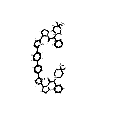 CC1(O)CCN(C(C(=O)N2CCCC2c2ncc(-c3ccc(-c4ccc(-c5cnc(C6CCCN6C(=O)C(c6ccccc6)N6CCC(C)(O)CC6)[nH]5)cc4)cc3)[nH]2)c2ccccc2)CC1